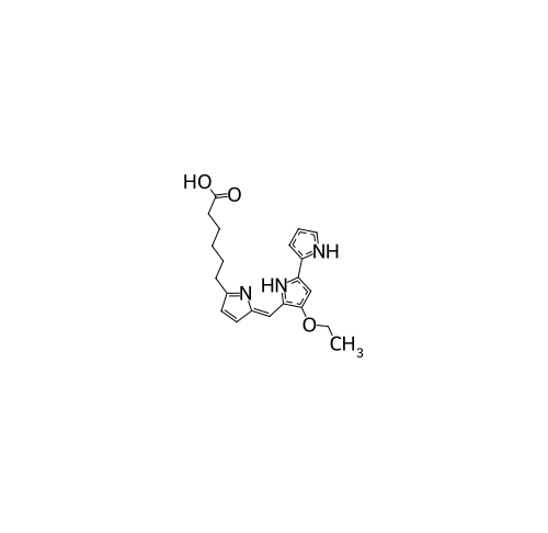 CCOc1cc(-c2ccc[nH]2)[nH]c1C=C1C=CC(CCCCCC(=O)O)=N1